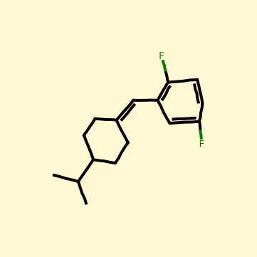 CC(C)C1CCC(=Cc2cc(F)ccc2F)CC1